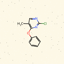 Cc1cnc(Cl)nc1Oc1ccccc1